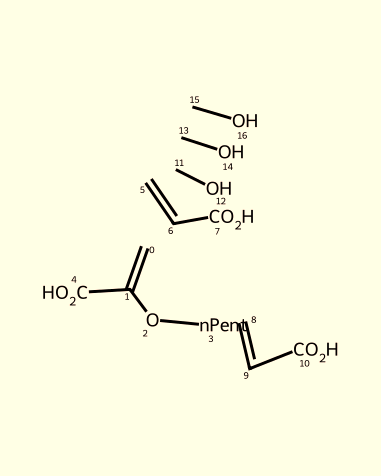 C=C(OCCCCC)C(=O)O.C=CC(=O)O.C=CC(=O)O.CO.CO.CO